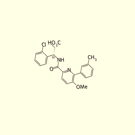 COc1ccc(C(=O)N[C@@H](CC(=O)O)c2ccccc2Cl)nc1-c1cccc(C)c1